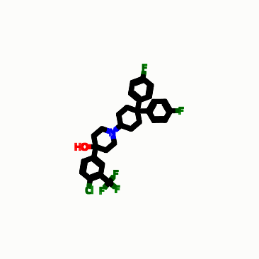 OC1(c2ccc(Cl)c(C(F)(F)F)c2)CCN(C2CCC(c3ccc(F)cc3)(c3ccc(F)cc3)CC2)CC1